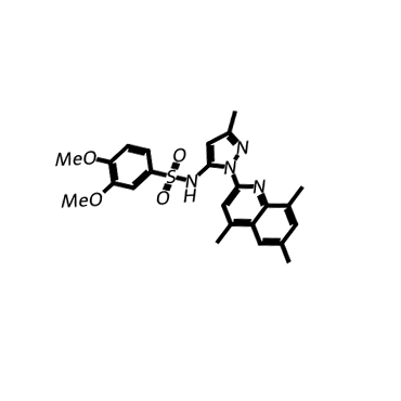 COc1ccc(S(=O)(=O)Nc2cc(C)nn2-c2cc(C)c3cc(C)cc(C)c3n2)cc1OC